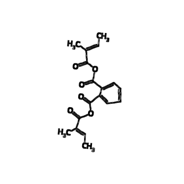 CC=C(C)C(=O)OC(=O)c1ccccc1C(=O)OC(=O)C(C)=CC